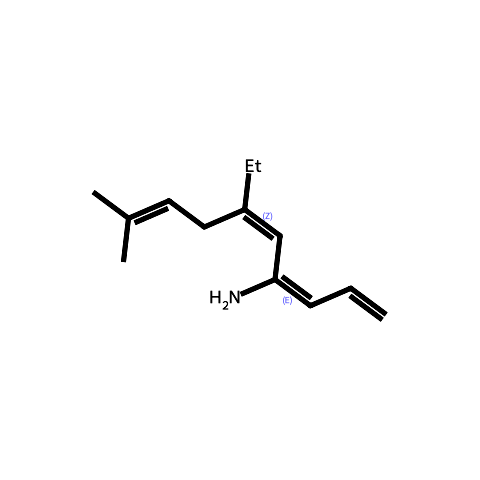 C=C/C=C(N)\C=C(\CC)CC=C(C)C